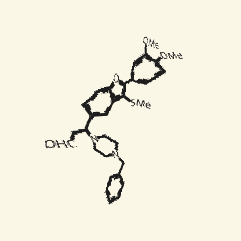 COc1ccc(-c2oc3ccc(C(CC=O)N4CCN(Cc5ccccc5)CC4)cc3c2SC)cc1OC